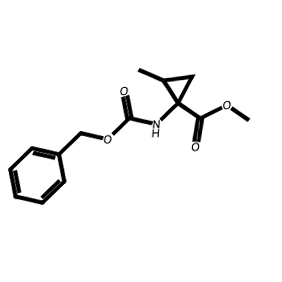 COC(=O)C1(NC(=O)OCc2ccccc2)CC1C